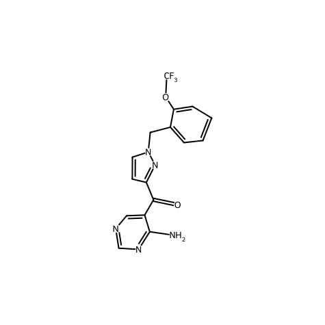 Nc1ncncc1C(=O)c1ccn(Cc2ccccc2OC(F)(F)F)n1